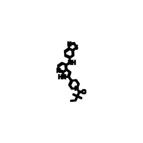 CCC(C)(C)C(=O)N1CC=C(c2cc3c(Nc4ccc5ncsc5c4)ccnc3[nH]2)CC1